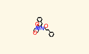 O=C(/C=C/c1ccccc1)NC(=Cc1ccccc1)C(=O)N1CCOCC1